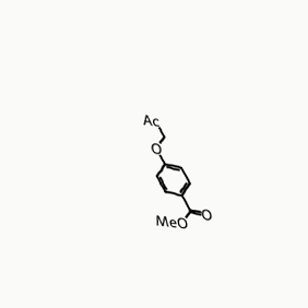 COC(=O)c1ccc(OCC(C)=O)cc1